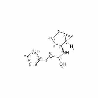 OC(N[C@H]1CNCC2=C[C@H]21)OCc1ccccc1